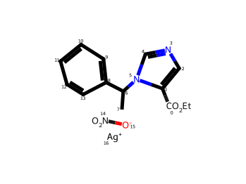 CCOC(=O)c1cncn1C(C)c1ccccc1.O=[N+]([O-])[O-].[Ag+]